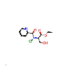 CCOC(=O)C(CO)N(Cl)C(=O)c1ccccn1